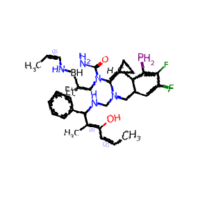 C/C=C\NBC(CC)CN(C(N)=O)C(=C1CC1)N(CNC(/C(C)=C(O)/C=C\C)c1ccccc1)CC1C=C(F)C(F)=C(P)C1C